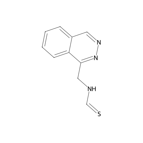 S=CNCc1nncc2ccccc12